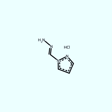 Cl.NN=Cn1cccn1